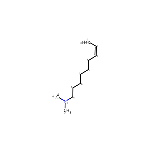 CCCCCC/C=C\CCCCCCN(C)C